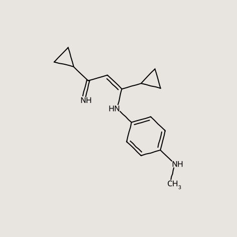 CNc1ccc(N/C(=C\C(=N)C2CC2)C2CC2)cc1